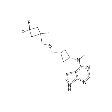 CN(c1ncnc2[nH]ccc12)[C@H]1C[C@@H](CSCC2(C)CC(F)(F)C2)C1